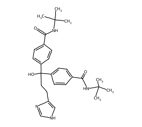 CC(C)(C)NC(=O)c1ccc(C(O)(CCc2c[nH]cn2)c2ccc(C(=O)NC(C)(C)C)cc2)cc1